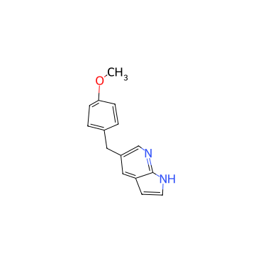 COc1ccc(Cc2cnc3[nH]ccc3c2)cc1